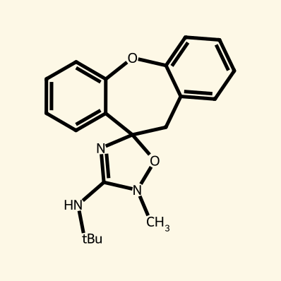 CN1OC2(Cc3ccccc3Oc3ccccc32)N=C1NC(C)(C)C